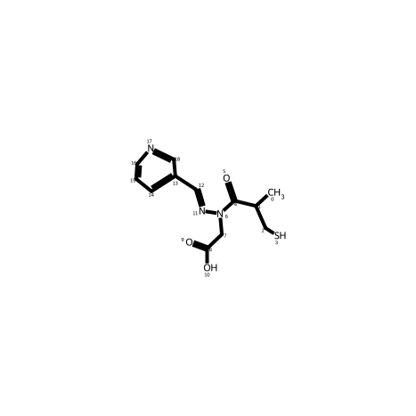 CC(CS)C(=O)N(CC(=O)O)N=Cc1cccnc1